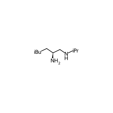 CCC(C)C[C@H](N)CNC(C)C